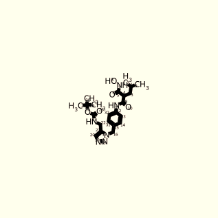 CC(C)CC(C(=O)NO)C(=O)Nc1ccc(Cn2nncc2CNC(=O)OC(C)(C)C)cc1